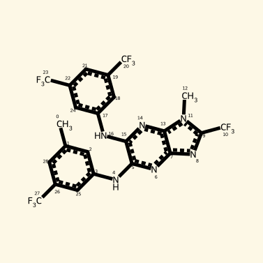 Cc1cc(Nc2nc3nc(C(F)(F)F)n(C)c3nc2Nc2cc(C(F)(F)F)cc(C(F)(F)F)c2)cc(C(F)(F)F)c1